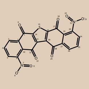 O=c1c2cccc([N+](=O)[O-])c2c(=O)c2c1sc1c(=O)c3c([N+](=O)[O-])cccc3c(=O)c12